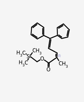 C/C(=C/C=C(c1ccccc1)c1ccccc1)C(=O)OC[Si](C)(C)C